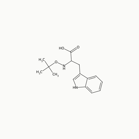 CC(C)(C)ONC(Cc1c[nH]c2ccccc12)C(=O)O